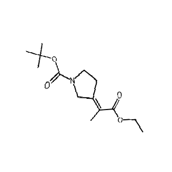 CCOC(=O)C(C)=C1CCN(C(=O)OC(C)(C)C)C1